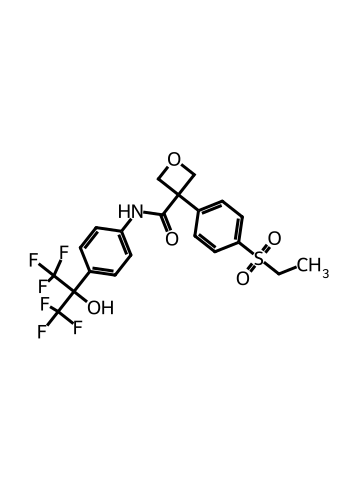 CCS(=O)(=O)c1ccc(C2(C(=O)Nc3ccc(C(O)(C(F)(F)F)C(F)(F)F)cc3)COC2)cc1